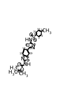 Cc1ccc(S(=O)(=O)Nc2nnc(-c3ccc4nc(NC(=O)OC(C)(C)C)sc4c3)o2)cc1